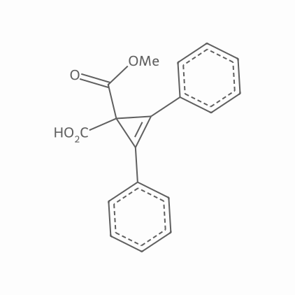 COC(=O)C1(C(=O)O)C(c2ccccc2)=C1c1ccccc1